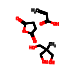 C=CC(=O)O.CC(CO)(CO)CO.O=C1CCC(=O)O1